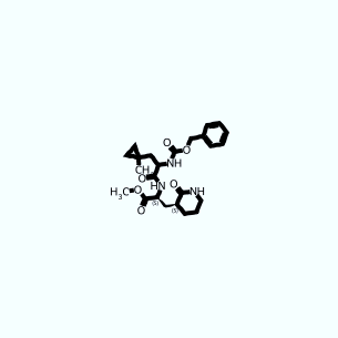 COC(=O)[C@H](C[C@@H]1CCCNC1=O)NC(=O)C(CC1(C)CC1)NC(=O)OCc1ccccc1